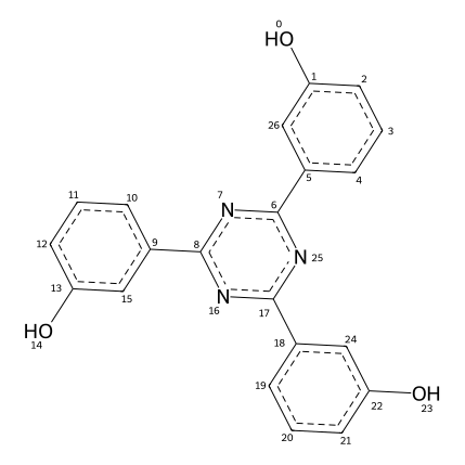 Oc1cccc(-c2nc(-c3cccc(O)c3)nc(-c3cccc(O)c3)n2)c1